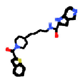 O=C(NCCCCC1CCN(C(=O)c2cc3ccccc3s2)CC1)c1cc2cnccc2[nH]1